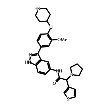 COc1cc(-c2n[nH]c3ccc(NC(=O)C(c4ccsc4)N4CCCC4)cc23)ccc1OC1CCNCC1